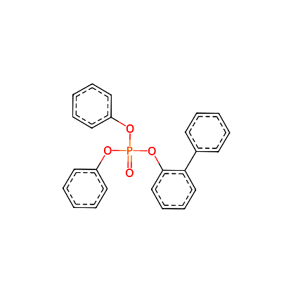 O=P(Oc1ccccc1)(Oc1ccccc1)Oc1ccccc1-c1ccccc1